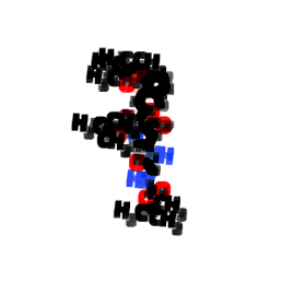 CC(C)(C)OC(=O)NCC(=O)N[C@H]1CN(C(=O)OC(C)(C)C)[C@@](CCCCB2OC(C)(C)C(C)(C)O2)(C(=O)OCc2ccccc2)C1